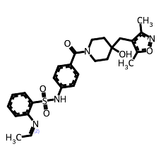 C/C=N\c1ccccc1S(=O)(=O)Nc1ccc(C(=O)N2CCC(O)(Cc3c(C)noc3C)CC2)cc1